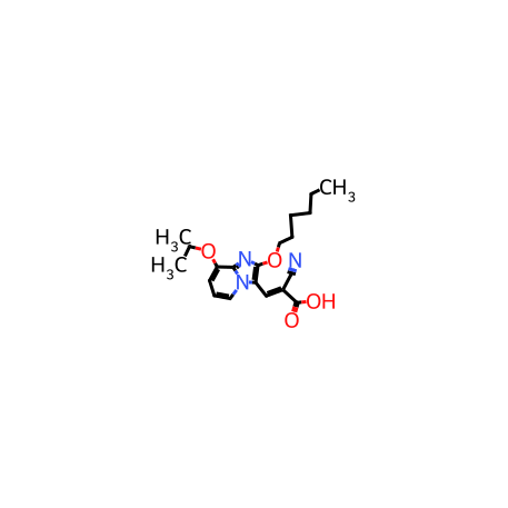 CCCCCCOc1nc2c(OC(C)C)cccn2c1C=C(C#N)C(=O)O